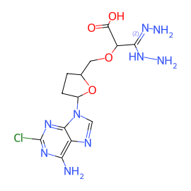 N/N=C(\NN)C(OCC1CCC(n2cnc3c(N)nc(Cl)nc32)O1)C(=O)O